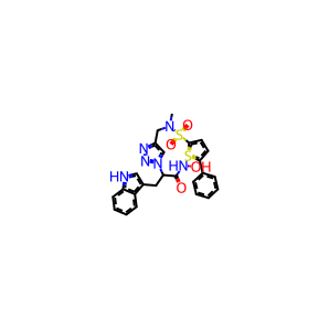 CN(Cc1cn(C(Cc2c[nH]c3ccccc23)C(=O)NO)nn1)S(=O)(=O)c1ccc(-c2ccccc2)s1